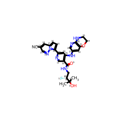 CC(C)(O)[C@H](F)CNC(=O)c1cnc(-c2ccc3cc(C#N)cnn23)cc1Nc1cnc2c(c1)OCCN2